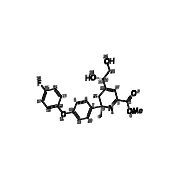 COC(=O)C1=NC(C)(c2ccc(Oc3ccc(F)cc3)cc2)CC([C@H](O)CO)=C1